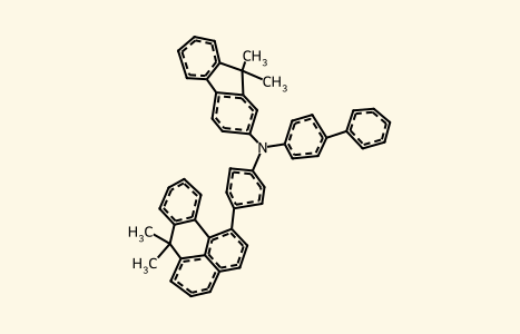 CC1(C)c2ccccc2-c2ccc(N(c3ccc(-c4ccccc4)cc3)c3ccc(-c4ccc5cccc6c5c4-c4ccccc4C6(C)C)cc3)cc21